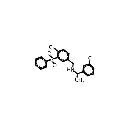 C[C@@H](NCc1ccc(Cl)c(S(=O)(=O)c2ccccc2)c1)c1cccc(Cl)c1